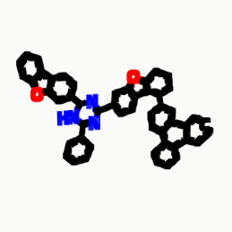 c1ccc(C2=NC(c3ccc4c(c3)oc3cccc(-c5ccc6c7ccccc7c7ccccc7c6c5)c34)=NC(c3ccc4c(c3)oc3ccccc34)N2)cc1